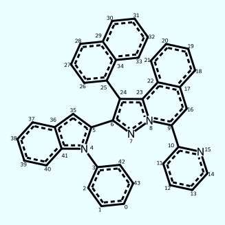 c1ccc(-n2c(-c3nn4c(-c5ccccn5)cc5ccccc5c4c3-c3cccc4ccccc34)cc3ccccc32)cc1